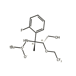 CC(C)(C)[S+]([O-])N[C@](C)(c1ccccc1F)[C@H](CO)OCC(F)(F)F